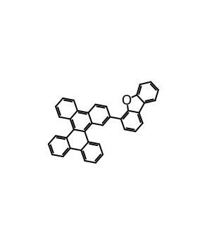 c1ccc2c(c1)oc1c(-c3ccc4c5ccccc5c5c6ccccc6c6ccccc6c5c4c3)cccc12